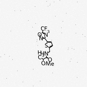 COC(C)C(=O)NCc1ccc(-c2noc(C(F)(F)F)n2)s1